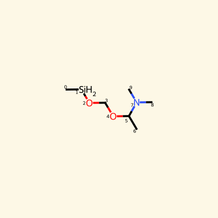 C[SiH2]OCOC(C)N(C)C